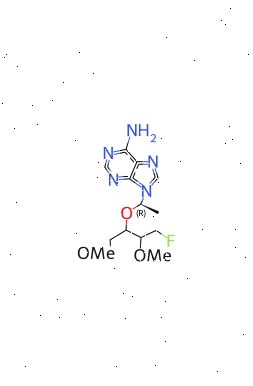 COCC(O[C@H](C)n1cnc2c(N)ncnc21)C(CF)OC